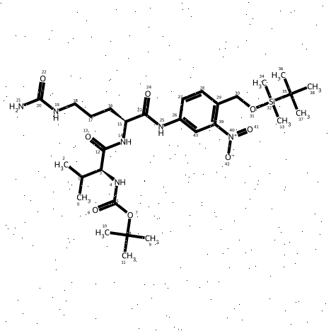 CC(C)[C@H](NC(=O)OC(C)(C)C)C(=O)N[C@@H](CCCNC(N)=O)C(=O)Nc1ccc(CO[Si](C)(C)C(C)(C)C)c([N+](=O)[O-])c1